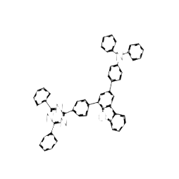 c1ccc(-c2nc(-c3ccccc3)nc(-c3ccc(-c4cc(-c5ccc(N(c6ccccc6)c6ccccc6)cc5)cc5c4oc4ccccc45)cc3)n2)cc1